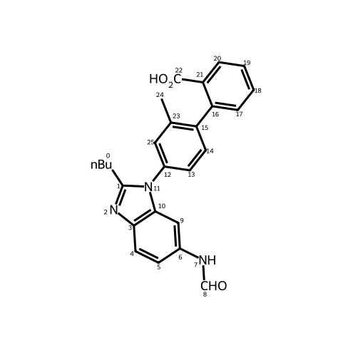 CCCCc1nc2ccc(NC=O)cc2n1-c1ccc(-c2ccccc2C(=O)O)c(C)c1